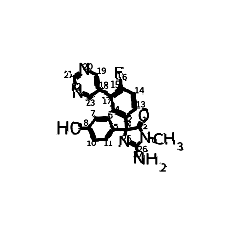 CN1C(=O)C(c2ccc(O)cc2)(c2ccc(F)c(-c3cncnc3)c2)N=C1N